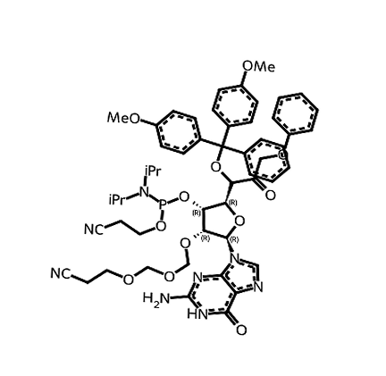 COc1ccc(C(OC(C(=O)COc2ccccc2)[C@H]2O[C@@H](n3cnc4c(=O)[nH]c(N)nc43)[C@H](OCOCOCCC#N)[C@@H]2OP(OCCC#N)N(C(C)C)C(C)C)(c2ccccc2)c2ccc(OC)cc2)cc1